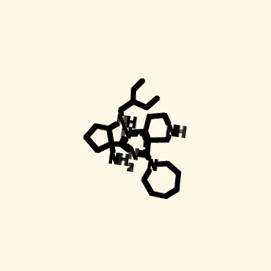 CCC(CC)CNC1CCCC1(N)c1nc2c(c(N3CCCCCC3)n1)CNCC2